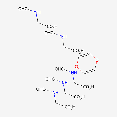 C1=COC=CO1.O=CNCC(=O)O.O=CNCC(=O)O.O=CNCC(=O)O.O=CNCC(=O)O.O=CNCC(=O)O